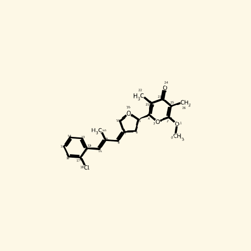 COc1oc([C@H]2C/C(=C/C(C)=C/c3ccccc3Cl)CO2)c(C)c(=O)c1C